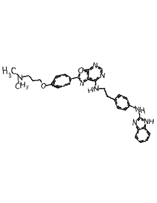 CN(C)CCCOc1ccc(-c2nc3c(NCCc4ccc(Nc5nc6ccccc6[nH]5)cc4)ncnc3o2)cc1